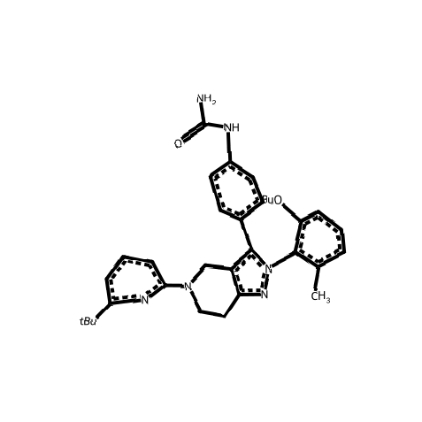 Cc1cccc(OCC(C)C)c1-n1nc2c(c1-c1ccc(NC(N)=O)cc1)CN(c1cccc(C(C)(C)C)n1)CC2